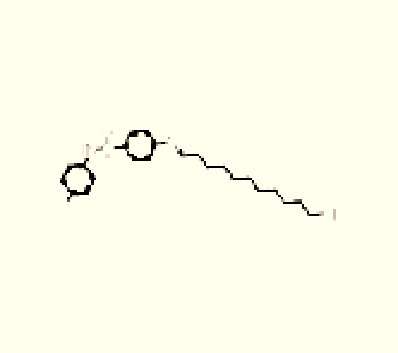 CCCCCCCCCCCC=Nc1ccc(S(=O)(=O)Nc2ccc(O)cc2)cc1